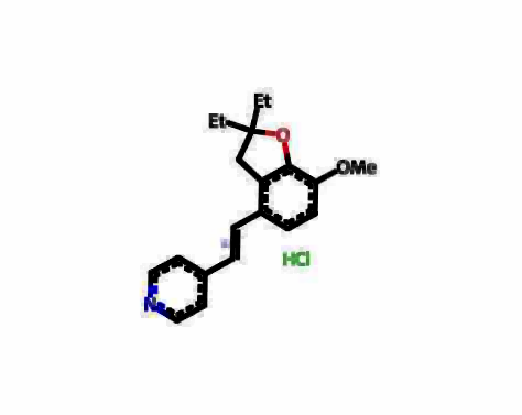 CCC1(CC)Cc2c(/C=C/c3ccncc3)ccc(OC)c2O1.Cl